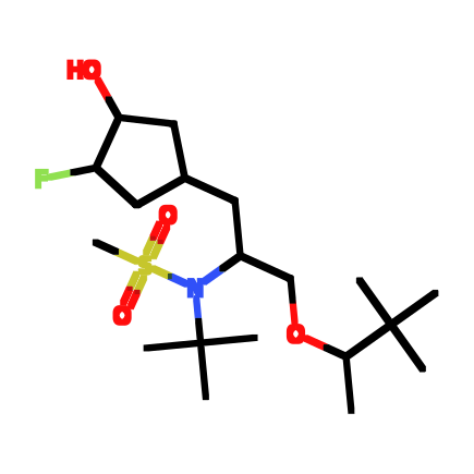 CC(OCC(CC1CC(O)C(F)C1)N(C(C)(C)C)S(C)(=O)=O)C(C)(C)C